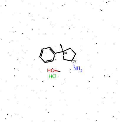 CO.C[C@@]1(c2ccccc2)CC[C@H](N)C1.Cl